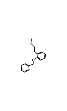 ICCCc1ccccc1OCc1ccccc1